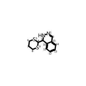 C1=NNC(C2SCCCS2)c2ccccc21